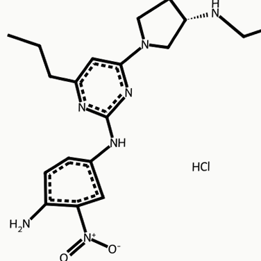 CCCc1cc(N2CC[C@H](NCC)C2)nc(Nc2ccc(N)c([N+](=O)[O-])c2)n1.Cl